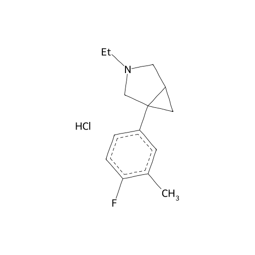 CCN1CC2CC2(c2ccc(F)c(C)c2)C1.Cl